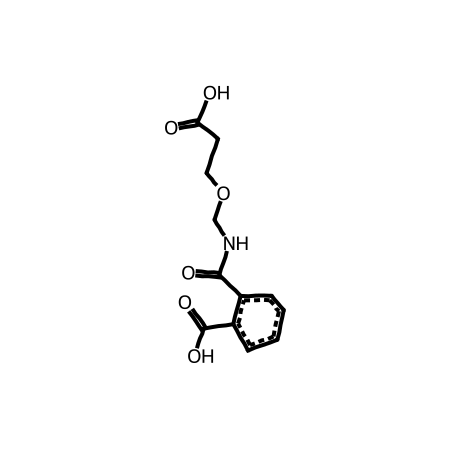 O=C(O)CCOCNC(=O)c1ccccc1C(=O)O